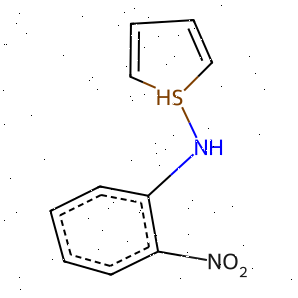 O=[N+]([O-])c1ccccc1N[SH]1C=CC=C1